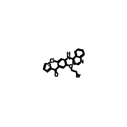 O=C(c1cccs1)c1cc(OCCBr)c(Nc2ncnc3ccccc23)cc1Cl